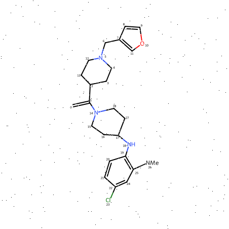 C=C(C1CCN(Cc2ccoc2)CC1)N1CCC(Nc2ccc(Cl)cc2NC)CC1